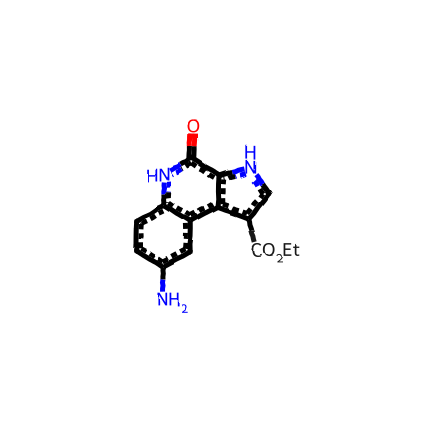 CCOC(=O)c1c[nH]c2c(=O)[nH]c3ccc(N)cc3c12